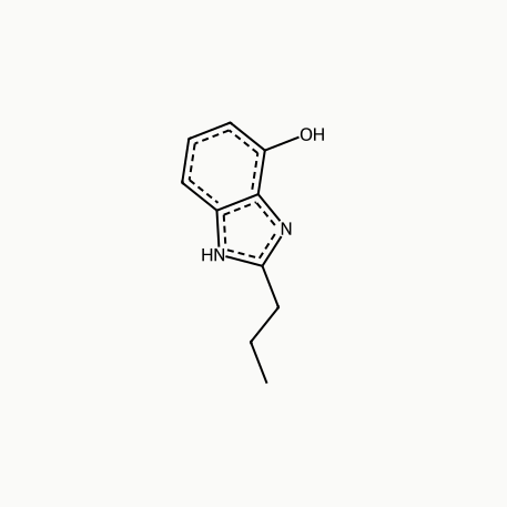 CCCc1nc2c(O)cccc2[nH]1